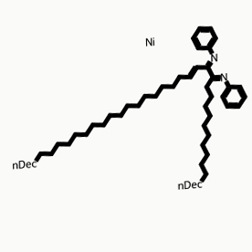 CCCCCCCCCCCCCCCCCCCCCCCCCCC/C=C/C(=N\c1ccccc1)C(/CCCCCCCCCCCCCCCCCCCC)=N/c1ccccc1.[Ni]